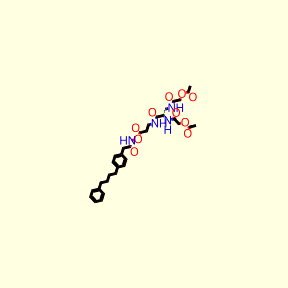 CC(=O)OCC(=O)NC[C@H](NC(=O)COC(C)=O)C(=O)NCCC(=O)ONC(=O)Cc1ccc(CCCCc2ccccc2)cc1